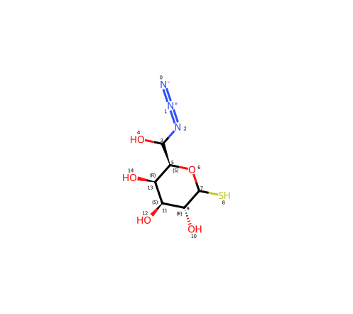 [N-]=[N+]=NC(O)[C@H]1OC(S)[C@H](O)[C@@H](O)[C@H]1O